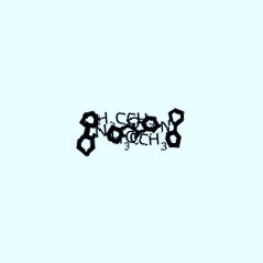 CC1(C)c2cc(N3c4ccccc4C4=CC=CCC43)ccc2OC12Oc1ccc(-n3c4ccccc4c4ccccc43)cc1C2(C)C